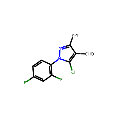 CCCc1nn(-c2ccc(F)cc2F)c(Cl)c1C=O